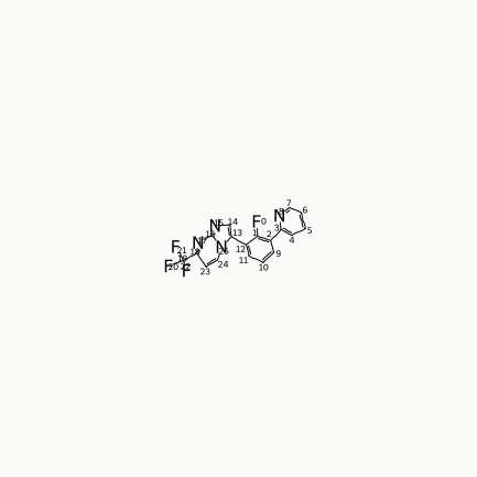 Fc1c(-c2ccccn2)cccc1-c1cnc2nc(C(F)(F)F)ccn12